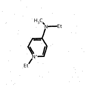 CCN(C)c1cc[n+](CC)cc1